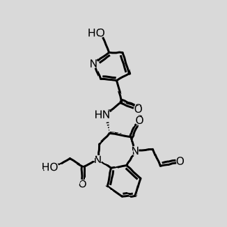 O=CCN1C(=O)[C@@H](NC(=O)c2ccc(O)nc2)CN(C(=O)CO)c2ccccc21